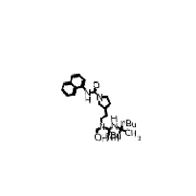 CCCCC(C)(CCCC)NC(=N)N(CO)CCC1CCN(C(=O)Nc2cccc3ccccc23)C1